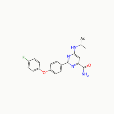 CC(=O)[C@H](C)Nc1cc(C(N)=O)nc(-c2ccc(Oc3ccc(F)cc3)cc2)n1